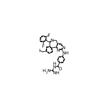 N=C(N)NC(=O)c1ccc(Nc2ncc3c(n2)-c2ccc(CI)cc2C(c2c(F)cccc2F)=NC3)cc1